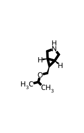 CC(C)OC[C@H]1[C@@H]2CNC[C@@H]21